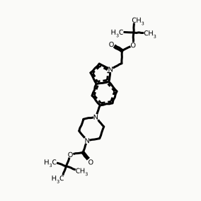 CC(C)(C)OC(=O)Cn1ccc2cc(N3CCN(C(=O)OC(C)(C)C)CC3)ccc21